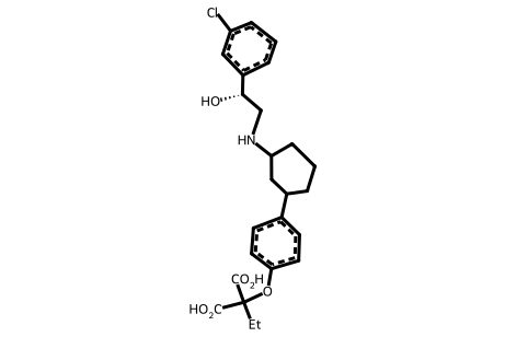 CCC(Oc1ccc(C2CCCC(NC[C@H](O)c3cccc(Cl)c3)C2)cc1)(C(=O)O)C(=O)O